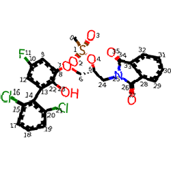 CS(=O)(=O)O[C@@H](COc1cc(F)cc(-c2c(Cl)cccc2Cl)c1O)CN1C(=O)c2ccccc2C1=O